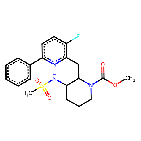 COC(=O)N1CCCC(NS(C)(=O)=O)C1Cc1nc(-c2ccccc2)ccc1F